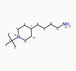 CC(C)(C)N1CCC(CCCCN)CC1